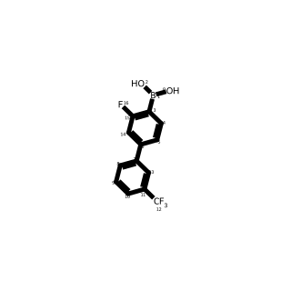 OB(O)c1ccc(-c2cccc(C(F)(F)F)c2)cc1F